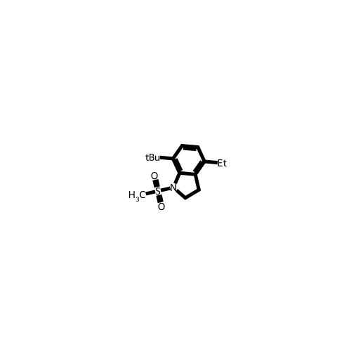 CCc1ccc(C(C)(C)C)c2c1CCN2S(C)(=O)=O